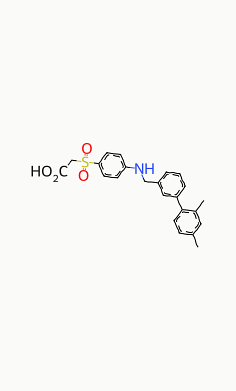 Cc1ccc(-c2cccc(CNc3ccc(S(=O)(=O)CC(=O)O)cc3)c2)c(C)c1